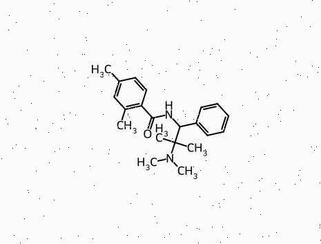 Cc1ccc(C(=O)NC(c2ccccc2)C(C)(C)N(C)C)c(C)c1